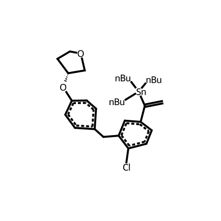 C=[C](c1ccc(Cl)c(Cc2ccc(O[C@@H]3CCOC3)cc2)c1)[Sn]([CH2]CCC)([CH2]CCC)[CH2]CCC